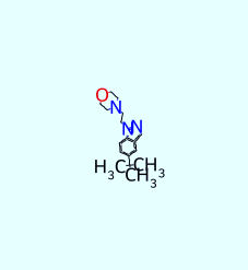 CC(C)(C)c1ccc2c(cnn2CCN2CCOCC2)c1